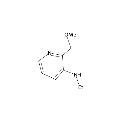 CCNc1c[c]cnc1COC